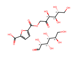 O=C(O)c1ccc(C(=O)OCC(=O)[C@@H](O)[C@H](O)[C@H](O)CO)o1.O=C[C@H](O)[C@@H](O)[C@H](O)[C@H](O)CO